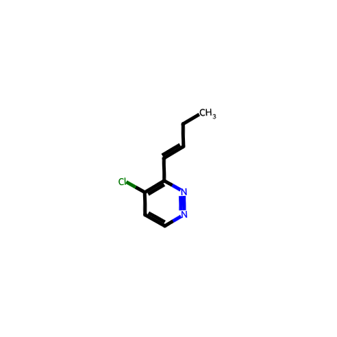 CC/C=C/c1nnccc1Cl